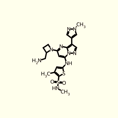 CNS(=O)(=O)c1sc(Nc2cc(N3CCC3CN)nc3c(-c4cnn(C)c4)cnn23)cc1C